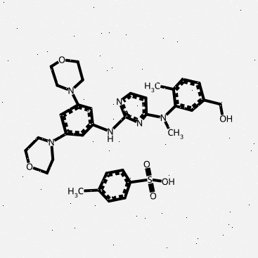 Cc1ccc(CO)cc1N(C)c1ccnc(Nc2cc(N3CCOCC3)cc(N3CCOCC3)c2)n1.Cc1ccc(S(=O)(=O)O)cc1